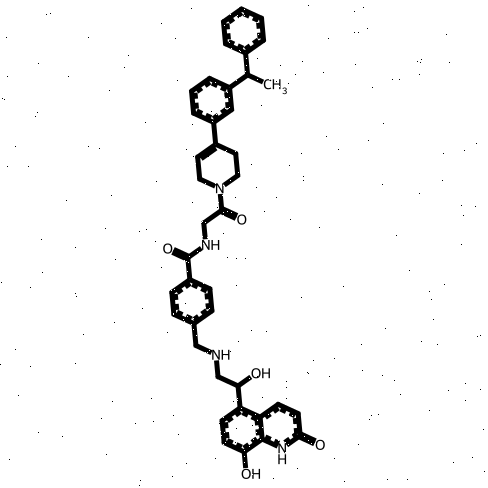 CC(c1ccccc1)c1cccc(C2=CCN(C(=O)CNC(=O)c3ccc(CNCC(O)c4ccc(O)c5[nH]c(=O)ccc45)cc3)CC2)c1